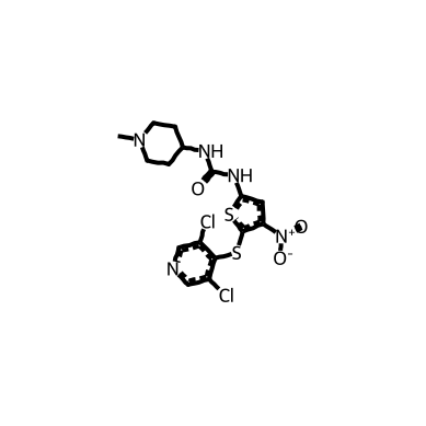 CN1CCC(NC(=O)Nc2cc([N+](=O)[O-])c(Sc3c(Cl)cncc3Cl)s2)CC1